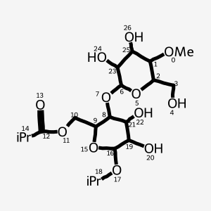 COC1C(CO)OC(OC2C(COC(=O)C(C)C)OC(OC(C)C)C(O)C2O)C(O)C1O